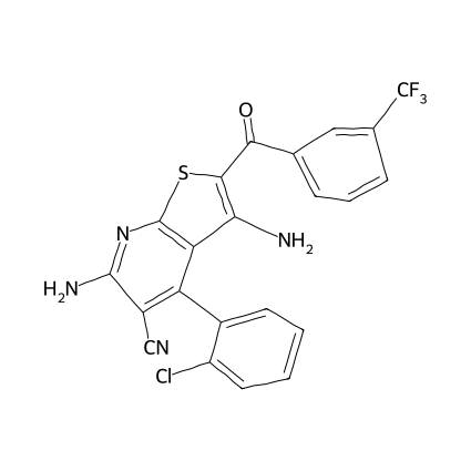 N#Cc1c(N)nc2sc(C(=O)c3cccc(C(F)(F)F)c3)c(N)c2c1-c1ccccc1Cl